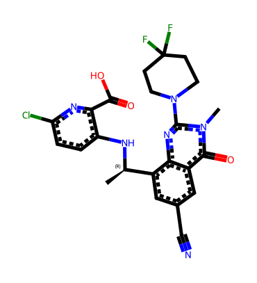 C[C@@H](Nc1ccc(Cl)nc1C(=O)O)c1cc(C#N)cc2c(=O)n(C)c(N3CCC(F)(F)CC3)nc12